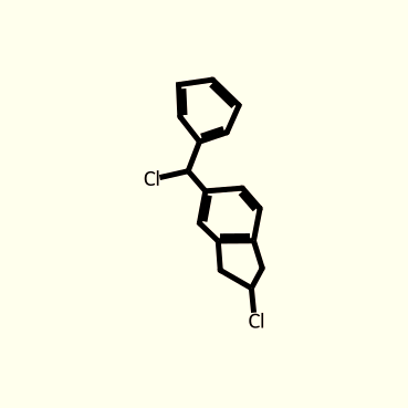 ClC1Cc2ccc(C(Cl)c3ccccc3)cc2C1